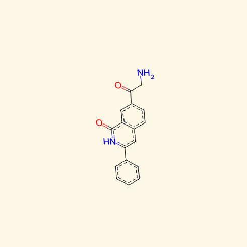 NCC(=O)c1ccc2cc(-c3ccccc3)[nH]c(=O)c2c1